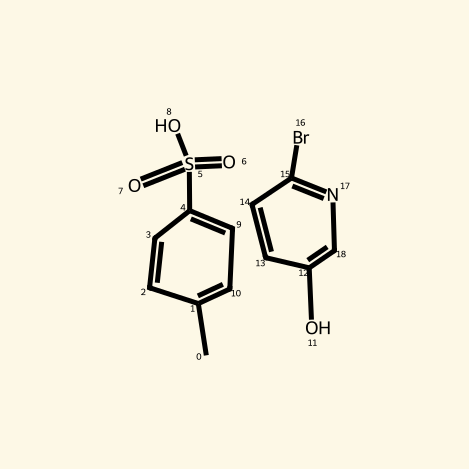 Cc1ccc(S(=O)(=O)O)cc1.Oc1ccc(Br)nc1